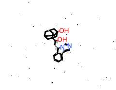 O[C@@H](C[C@H]1c2ccccc2-c2cncn21)C12CC3CC(CC(O)(C3)C1)C2